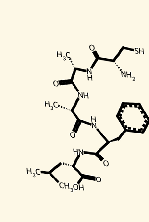 CC(C)C[C@H](NC(=O)[C@H](Cc1ccccc1)NC(=O)[C@H](C)NC(=O)[C@H](C)NC(=O)[C@@H](N)CS)C(=O)O